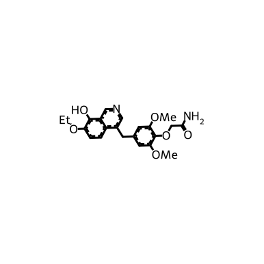 CCOc1ccc2c(Cc3cc(OC)c(OCC(N)=O)c(OC)c3)cncc2c1O